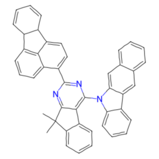 CC1(C)c2ccccc2-c2c(-n3c4ccccc4c4cc5ccccc5cc43)nc(-c3ccc4c5c(cccc35)C3C=CC=CC43)nc21